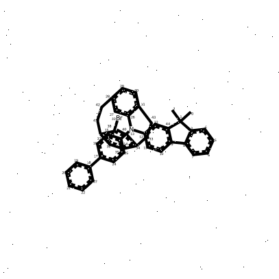 CC1(C)c2ccccc2-c2ccc(N(c3ccc(-c4ccccc4)cc3)c3cc4ccc3CCc3ccc(c(Br)c3)CC4)cc21